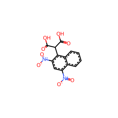 O=C(O)C(C(=O)O)c1c([N+](=O)[O-])cc([N+](=O)[O-])c2ccccc12